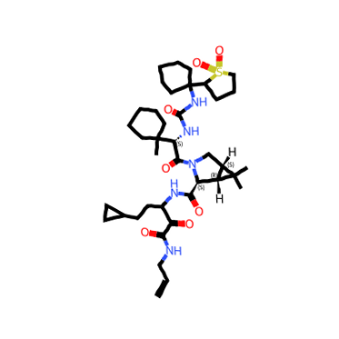 C=CCNC(=O)C(=O)C(CCC1CC1)NC(=O)[C@@H]1[C@@H]2[C@H](CN1C(=O)[C@@H](NC(=O)NC1(C3CCCS3(=O)=O)CCCCC1)C1(C)CCCCC1)C2(C)C